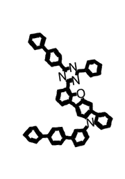 c1ccc(-c2ccc(-c3cccc(-n4c5ccccc5c5cc6oc7c(-c8nc(-c9ccccc9)nc(-c9ccc(-c%10ccccc%10)cc9)n8)cccc7c6cc54)c3)cc2)cc1